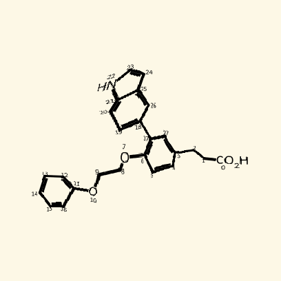 O=C(O)CCc1ccc(OCCOc2ccccc2)c(-c2ccc3[nH]ccc3c2)c1